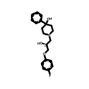 O[C@H](COc1ccc(F)cc1)CN1CCC(O)(c2ccccc2)CC1